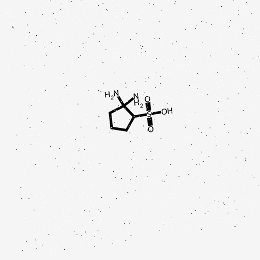 NC1(N)CCCC1S(=O)(=O)O